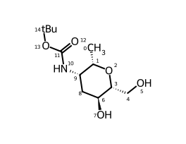 C[C@@H]1O[C@H](CO)[C@@H](O)C[C@@H]1NC(=O)OC(C)(C)C